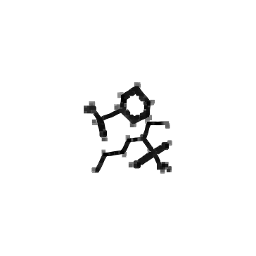 CCCCC(CC)S(N)(=O)=O.O=C(O)c1ccccc1